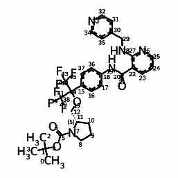 CC(C)(C)OC(=O)N1CCC[C@H]1COC(c1ccc(NC(=O)c2cccnc2NCc2ccncc2)cc1)(C(F)(F)F)C(F)(F)F